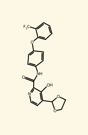 O=C(Nc1ccc(Oc2ccccc2C(F)(F)F)cc1)c1nccc(C2OCCO2)c1O